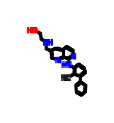 N#Cc1c(Nc2nccc3cc(CNCCO)cnc23)cccc1-c1ccccc1